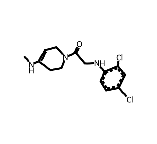 CNC1=CCN(C(=O)CNc2ccc(Cl)cc2Cl)CC1